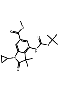 COC(=O)c1cc(NC(=O)OC(C)(C)C)c2c(c1)N(C1CC1)C(=O)C2(C)C